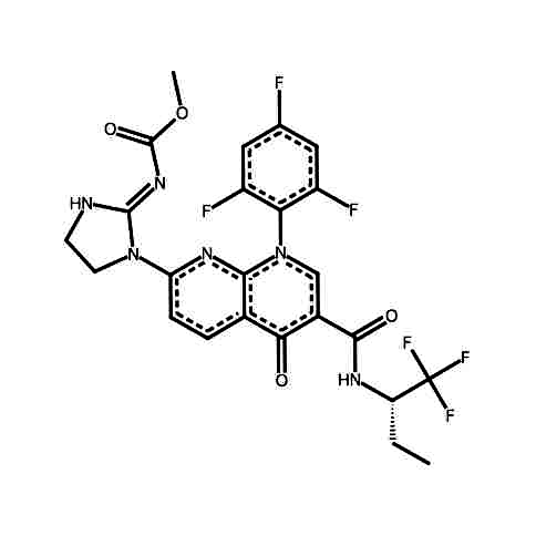 CC[C@H](NC(=O)c1cn(-c2c(F)cc(F)cc2F)c2nc(N3CCN/C3=N\C(=O)OC)ccc2c1=O)C(F)(F)F